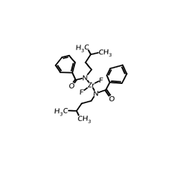 CC(C)CC[N](C(=O)c1ccccc1)[Zr]([F])([F])[N](CCC(C)C)C(=O)c1ccccc1